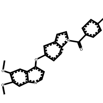 COc1cc2nccc(Oc3ccc4c(ccn4C(=O)c4ccc(F)cc4)c3)c2cc1OC